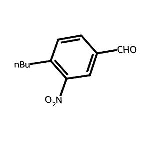 CCCCc1ccc(C=O)cc1[N+](=O)[O-]